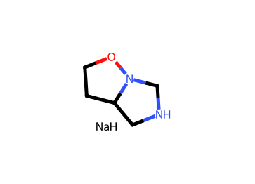 C1CC2CNCN2O1.[NaH]